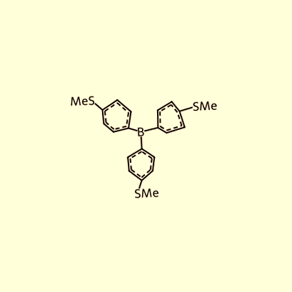 CSc1ccc(B(c2ccc(SC)cc2)c2ccc(SC)cc2)cc1